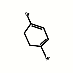 BrC1=CC=C(Br)CC1